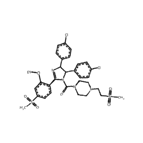 CCOc1cc(S(C)(=O)=O)ccc1C1=NC(c2ccc(Cl)cc2)C(c2ccc(Cl)cc2)N1C(=O)N1CCN(CCS(C)(=O)=O)CC1